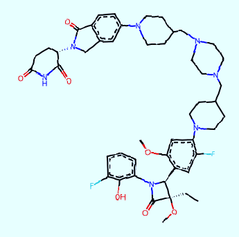 CC[C@]1(OC)C(=O)N(c2cccc(F)c2O)[C@H]1c1cc(F)c(N2CCC(CN3CCN(CC4CCN(c5ccc6c(c5)CN([C@H]5CCC(=O)NC5=O)C6=O)CC4)CC3)CC2)cc1OC